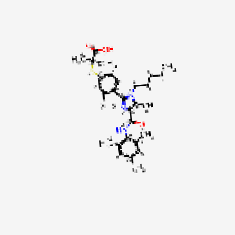 CCCCCn1c(-c2ccc(SC(C)(C)C(=O)O)cc2C)nc(C(=O)Nc2c(C)cc(C)cc2C)c1C